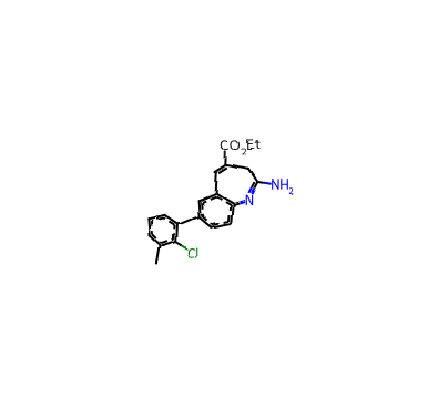 CCOC(=O)C1=Cc2cc(-c3cccc(C)c3Cl)ccc2N=C(N)C1